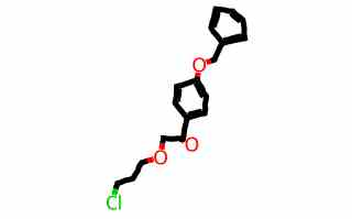 O=C(COCCCCl)c1ccc(OCc2ccccc2)cc1